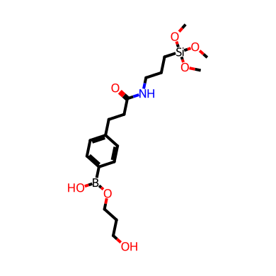 CO[Si](CCCNC(=O)CCc1ccc(B(O)OCCCO)cc1)(OC)OC